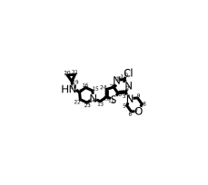 Clc1nc(N2CCOCC2)c2sc(CN3CCC(NC4CC4)CC3)cc2n1